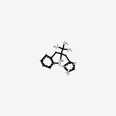 CC(C)(C)C(O)(Cc1nc[nH]n1)Cc1ccccc1Cl